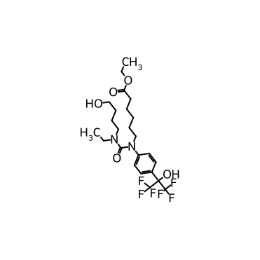 CCOC(=O)CCCCCN(C(=O)N(CC)CCCCO)c1ccc(C(O)(C(F)(F)F)C(F)(F)F)cc1